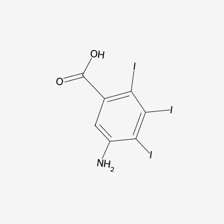 Nc1cc(C(=O)O)c(I)c(I)c1I